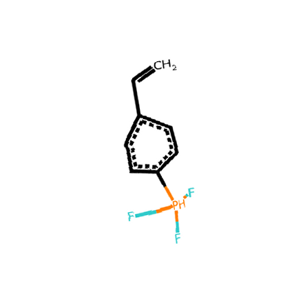 C=Cc1ccc([PH](F)(F)F)cc1